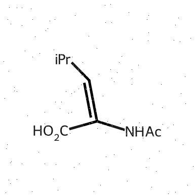 CC(=O)N/C(=C/C(C)C)C(=O)O